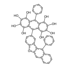 Oc1c(O)c(O)c2c(-c3ccc4oc5cc6ccccc6c(-c6ccccc6)c5c4c3)c3c(O)c(O)c(O)c(O)c3c(-c3ccccc3)c2c1O